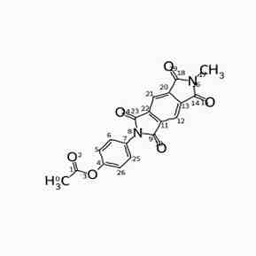 CC(=O)Oc1ccc(-n2c(=O)c3cc4c(=O)n(C)c(=O)c4cc3c2=O)cc1